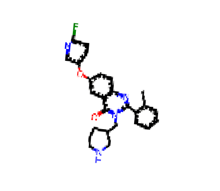 Cc1ccccc1-c1nc2ccc(Oc3ccc(F)nc3)cc2c(=O)n1CC1CCCNC1